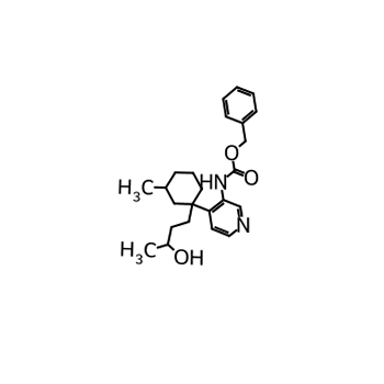 CC(O)CCC1(c2ccncc2NC(=O)OCc2ccccc2)CCCC(C)C1